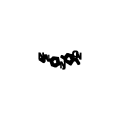 Cc1cc2onc(C)c2cc1N(C)c1ccc(-n2ccnc2)cc1